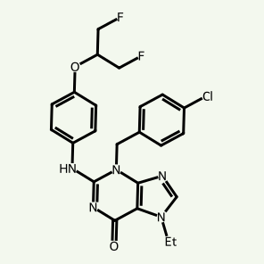 CCn1cnc2c1c(=O)nc(Nc1ccc(OC(CF)CF)cc1)n2Cc1ccc(Cl)cc1